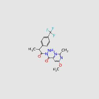 COc1cc(C(=O)N(N)C(=O)C(C)c2ccc(C(F)(F)F)cc2)nc(C)n1